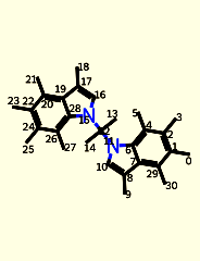 Cc1c(C)c(C)c2c(c(C)cn2C(C)(C)n2cc(C)c3c(C)c(C)c(C)c(C)c32)c1C